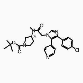 CN(C(=O)Cn1cnc(-c2ccc(Cl)cc2)c1-c1ccncc1)[C@H]1CCN(C(=O)OC(C)(C)C)C1